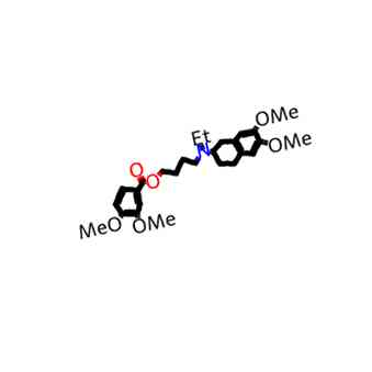 CCN(CCCCOC(=O)c1ccc(OC)c(OC)c1)C1CCc2cc(OC)c(OC)cc2C1